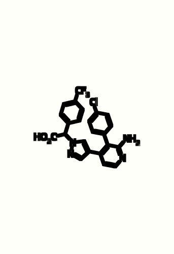 Nc1nccc(-c2cnn(C(C(=O)O)c3ccc(C(F)(F)F)cc3)c2)c1-c1ccc(Cl)cc1